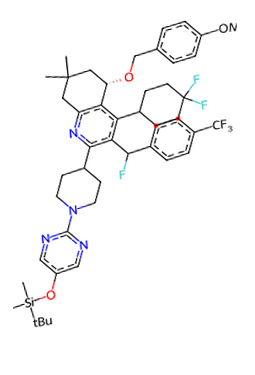 COc1ccc(CO[C@H]2CC(C)(C)Cc3nc(C4CCN(c5ncc(O[Si](C)(C)C(C)(C)C)cn5)CC4)c(C(F)c4ccc(C(F)(F)F)cc4)c(C4CCC(F)(F)CC4)c32)cc1